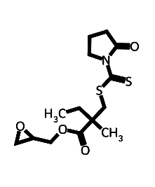 CCC(C)(CSC(=S)N1CCCC1=O)C(=O)OCC1CO1